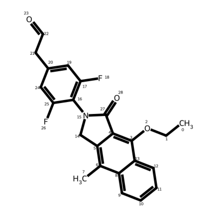 CCOc1c2c(c(C)c3ccccc13)CN(c1c(F)cc(CC=O)cc1F)C2=O